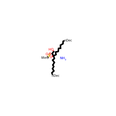 CCCCCCCCCCCCCCCCCCC(CCO)(CCCCCCCCCCCCCCCCCC)OS(=O)(=O)OC.N